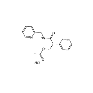 CC(=O)OCC(C(=O)NCc1ccccn1)c1ccccc1.Cl